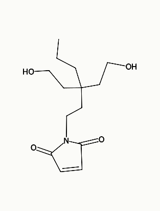 CCCC(CCO)(CCO)CCN1C(=O)C=CC1=O